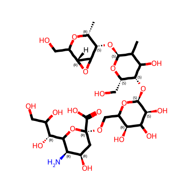 CC1C(O)[C@H](O[C@@H]2OC(CO[C@]3(C(=O)O)C[C@@H](O)[C@@H](N)C([C@H](O)C(O)CO)O3)[C@H](O)C(O)[C@@H]2O)[C@H](CO)O[C@H]1O[C@@H]1C2O[C@@H]2C(CO)O[C@@H]1C